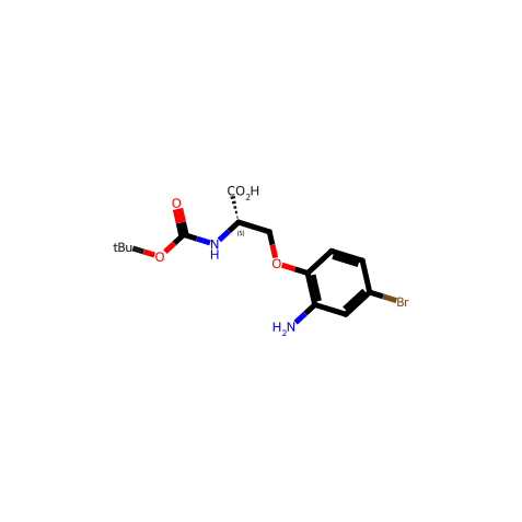 CC(C)(C)OC(=O)N[C@@H](COc1ccc(Br)cc1N)C(=O)O